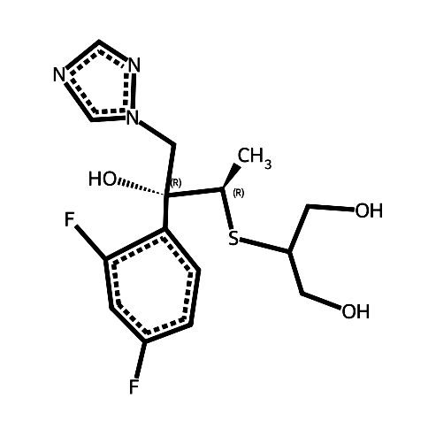 C[C@@H](SC(CO)CO)[C@](O)(Cn1cncn1)c1ccc(F)cc1F